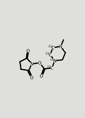 CN1CC[15N]([13CH2]C(=O)ON2C(=O)CCC2=O)[13CH2][13CH2]1